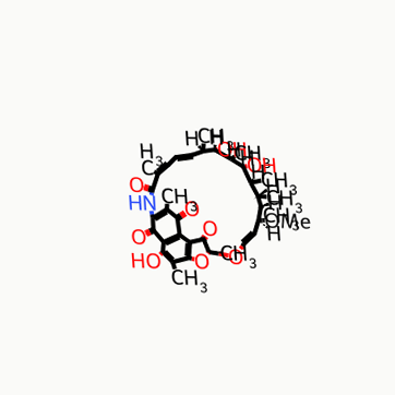 CO[C@H]1/C=C/O[C@@]2(C)Oc3c(C)c(O)c4c(c3C2=O)C(=O)C(C)=C(NC(=O)/C(C)=C\C=C\[C@H](C)[C@H](O)[C@@H](C)[C@@H](O)[C@@H](C)[C@H](C)[C@@H]1C)C4=O